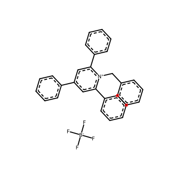 F[B-](F)(F)F.c1ccc(C[n+]2c(-c3ccccc3)cc(-c3ccccc3)cc2-c2ccccc2)cc1